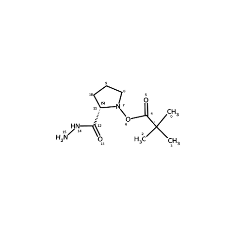 CC(C)(C)C(=O)ON1CCC[C@H]1C(=O)NN